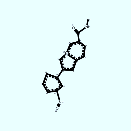 CNC(=O)c1ccc2cc(-c3cccc(N=O)c3)cn2c1